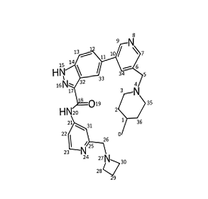 CC1CCN(Cc2cncc(-c3ccc4[nH]nc(C(=O)Nc5ccnc(CN6CCC6)c5)c4c3)c2)CC1